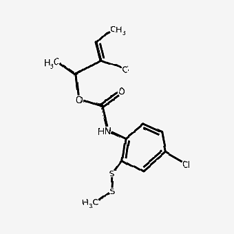 C/C=C(\Cl)C(C)OC(=O)Nc1ccc(Cl)cc1SSC